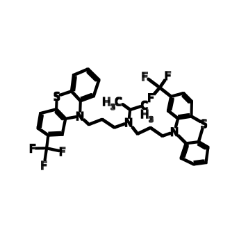 CC(C)N(CCCN1c2ccccc2Sc2ccc(C(F)(F)F)cc21)CCCN1c2ccccc2Sc2ccc(C(F)(F)F)cc21